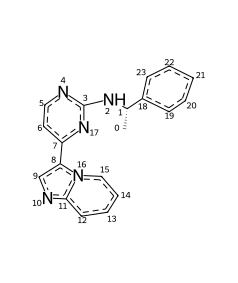 C[C@H](Nc1nccc(-c2cnc3ccccn23)n1)c1ccccc1